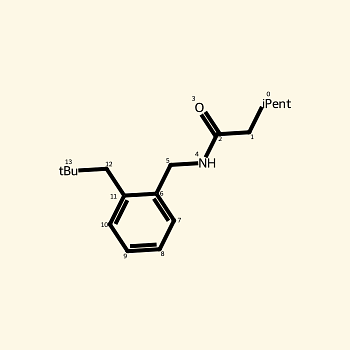 CCCC(C)CC(=O)NCc1ccccc1CC(C)(C)C